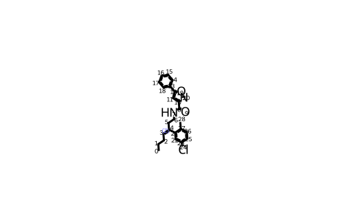 CCC/C=C(/CCNC(=O)c1cc(-c2ccccc2)on1)c1cc(Cl)ccc1C